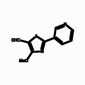 COc1nc(-c2cccnc2)sc1C=O